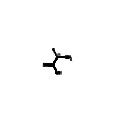 C[C@H](N)C(O)=S